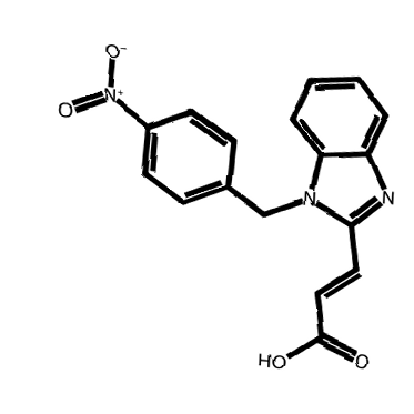 O=C(O)C=Cc1nc2ccccc2n1Cc1ccc([N+](=O)[O-])cc1